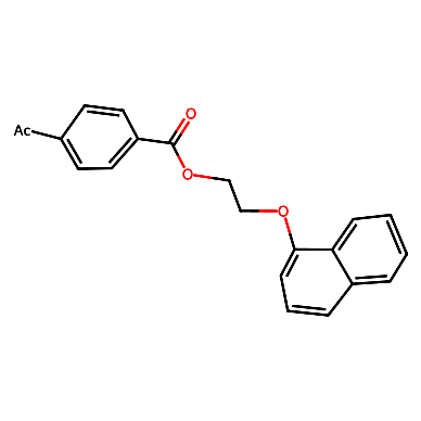 CC(=O)c1ccc(C(=O)OCCOc2cccc3ccccc23)cc1